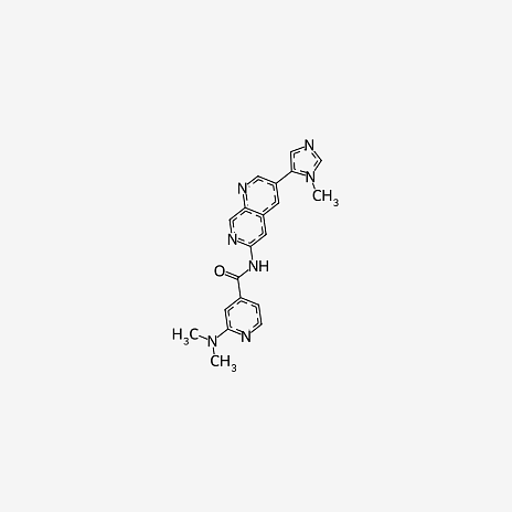 CN(C)c1cc(C(=O)Nc2cc3cc(-c4cncn4C)cnc3cn2)ccn1